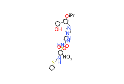 CC(C)Oc1cc(CN2CCN(c3ccc(C(=O)NS(=O)(=O)c4ccc(NCCSc5ccccc5)c([N+](=O)[O-])c4)nn3)CC2)cc(-c2cccc(O)c2)c1